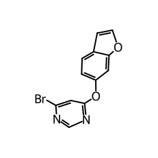 Brc1cc(Oc2ccc3ccoc3c2)ncn1